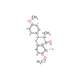 COc1ccc(C2Cc3ccc(OC)c(F)c3C(=O)C2C)cc1